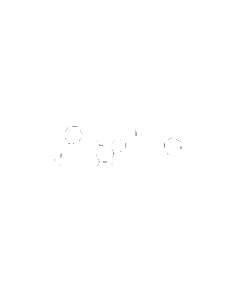 Cn1c(=O)n(Cc2ccccc2C#N)c(=O)c2cc(C(=O)OCc3ccccc3)sc21